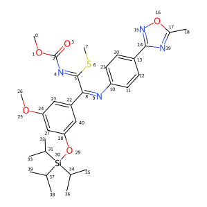 COC(=O)N=C(SC)C(=Nc1ccc(-c2noc(C)n2)cc1)c1cc(OC)cc(O[Si](C(C)C)(C(C)C)C(C)C)c1